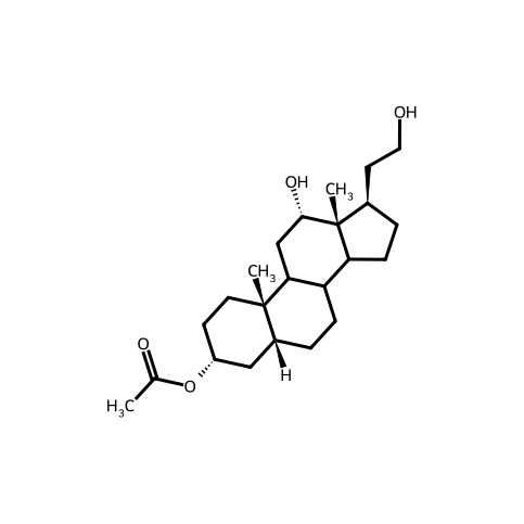 CC(=O)O[C@@H]1CC[C@]2(C)C3C[C@H](O)[C@@]4(C)C(CC[C@@H]4CCO)C3CC[C@@H]2C1